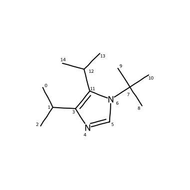 CC(C)c1ncn(C(C)(C)C)c1C(C)C